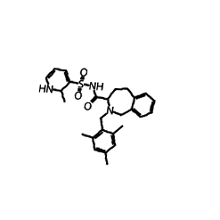 Cc1cc(C)c(CN2Cc3ccccc3CCC2C(=O)NS(=O)(=O)C2=CC=CNC2C)c(C)c1